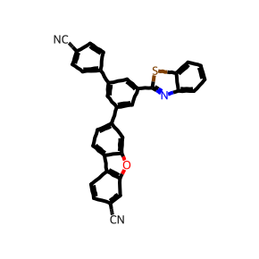 N#Cc1ccc(-c2cc(-c3ccc4c(c3)oc3cc(C#N)ccc34)cc(-c3nc4ccccc4s3)c2)cc1